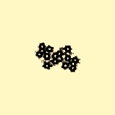 CC(C)c1cccc(C(C)C)c1N(c1ccc(C2(c3ccccc3)c3ccccc3-c3ccccc32)cc1)c1ccc2ccc3c(N(c4ccc(C5(c6ccccc6)c6ccccc6-c6ccccc65)cc4)c4c(C(C)C)cccc4C(C)C)ccc4ccc1c2c43